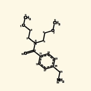 COCCN(CCOC)C(=O)c1ccc(CN)cc1